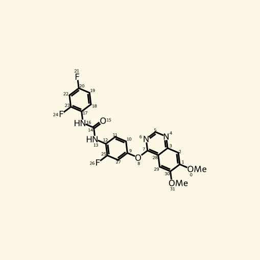 COc1cc2ncnc(Oc3ccc(NC(=O)Nc4ccc(F)cc4F)c(F)c3)c2cc1OC